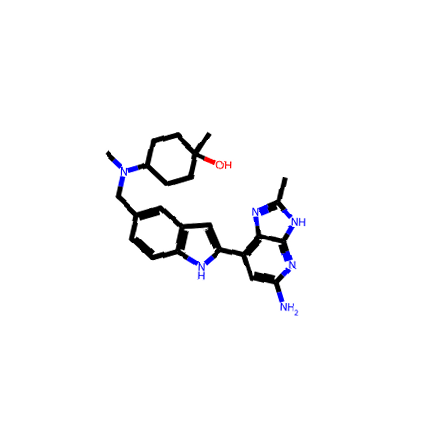 Cc1nc2c(-c3cc4cc(CN(C)C5CCC(C)(O)CC5)ccc4[nH]3)cc(N)nc2[nH]1